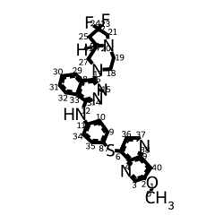 COc1cnc2c(Sc3ccc(Nc4nnc(N5CCN6CC(F)(F)C[C@H]6C5)c5ccccc45)cc3)ccnc2c1